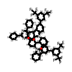 N#Cc1cccc(-n2c3ccccc3c3cc(-c4cc(C(F)(F)F)cc(C(F)(F)F)c4)ccc32)c1-c1cc(-c2nc(-c3ccccc3)nc(-c3ccccc3)n2)ccc1-n1c2ccccc2c2cc(-c3cc(C(F)(F)F)cc(C(F)(F)F)c3)ccc21